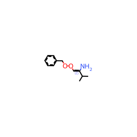 CC(C)/C(N)=C/OOCc1ccccc1